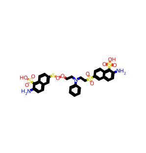 Nc1ccc2cc(SOOCCN(CCS(=O)(=O)c3ccc4c(S(=O)(=O)O)c(N)ccc4c3)c3ccccc3)ccc2c1S(=O)(=O)O